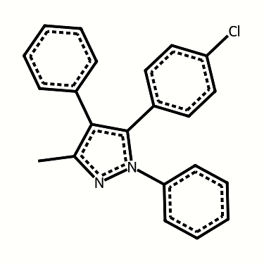 Cc1nn(-c2ccccc2)c(-c2ccc(Cl)cc2)c1-c1ccccc1